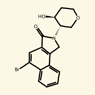 O=C1c2cc(Br)c3ccccc3c2CN1[C@H]1COCC[C@@H]1O